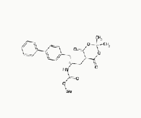 CC(C)(C)OC(=O)N[C@H](Cc1ccc(-c2ccccc2)cc1)CC1C(=O)OC(C)(C)OC1=O